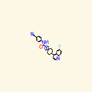 N#Cc1ccc(NC(=O)N2CC3(CCC(c4ccnc5ccc(F)cc45)CC3)C2)cc1